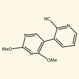 COc1ncc(-c2cccnc2C#N)c(OC)n1